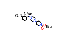 CNc1c(CN2CCN(C3CCN(C(=O)OC(C)(C)C)CC3)CC2)cccc1[N+](=O)[O-]